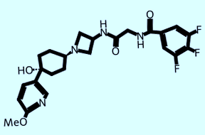 COc1ccc([C@]2(O)CC[C@H](N3CC(NC(=O)CNC(=O)c4cc(F)c(F)c(F)c4)C3)CC2)cn1